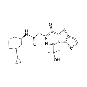 CC(C)(O)c1nn(CC(=O)N[C@@H]2CCCN(C3CC3)C2)c(=O)c2cc3ccsc3n12